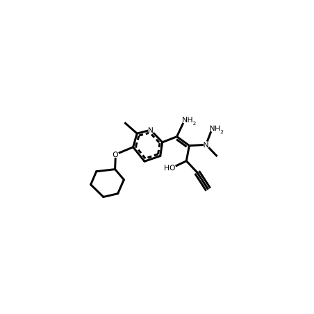 C#CC(O)/C(=C(/N)c1ccc(OC2CCCCC2)c(C)n1)N(C)N